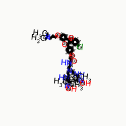 CCN(CC)CCCOc1ccc(-c2oc3ccc(Cl)cc3c2C(=O)c2ccc(OCC(=O)NCCN(CCNC(C)(C)/C(C)=N/O)CCNC(C)(C)/C(C)=N/O)cc2)cc1